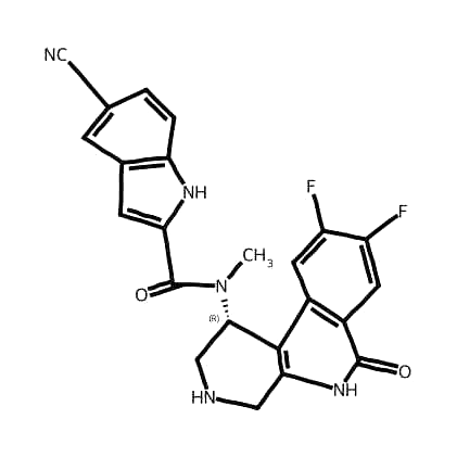 CN(C(=O)c1cc2cc(C#N)ccc2[nH]1)[C@H]1CNCc2[nH]c(=O)c3cc(F)c(F)cc3c21